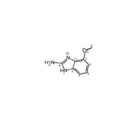 COc1cccc2[nH]c(N)nc12